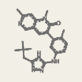 Cc1cc2c(cn1)cc(-c1cc(Nc3nnc(CC(C)(C)C)[nH]3)ccc1C)c(=O)n2C